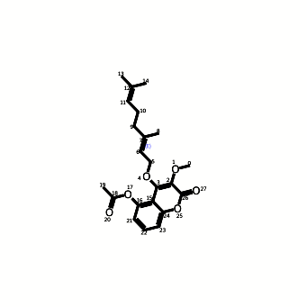 COc1c(OC/C=C(\C)CCC=C(C)C)c2c(OC(C)=O)cccc2oc1=O